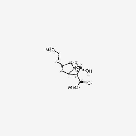 COCOC1CC2C(C(=O)OC)C(O)CC1N2C